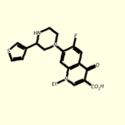 CCn1cc(C(=O)O)c(=O)c2cc(F)c(N3CCNC(c4ccsc4)C3)cc21